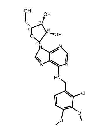 COc1ccc(CNc2ncnc3c2ncn3[C@@H]2O[C@H](CO)[C@@H](O)[C@H]2O)c(Cl)c1OC